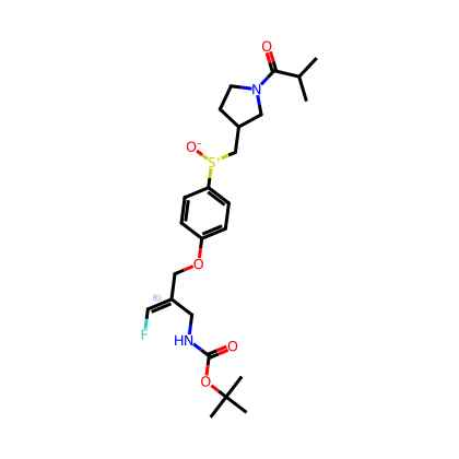 CC(C)C(=O)N1CCC(C[S+]([O-])c2ccc(OC/C(=C/F)CNC(=O)OC(C)(C)C)cc2)C1